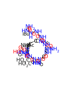 CCC(C)[C@H](NCC(=O)[C@H](C)NCCC(=O)[C@H](C)NCC(=O)[C@]1(C)CCC/C=C/CCCCCC[C@@](C)(NC(=O)[C@H](Cc2ccccc2)NN[C@H](C(=O)C(=O)[C@H](CC(C)C)NC(C)=O)[C@@H](C)O)C(=O)N[C@@H](CCC(=O)O)C(=O)N[C@@H](Cc2ccc(C(=O)O)cc2)C(=O)N[C@@H](Cc2c[nH]c3ccccc23)C(=O)CC(=O)[C@H](C)NCN[C@@H](CCC(N)=O)C(=O)N[C@@H](CC2CCC2)C(=O)N1)C(=O)N[C@H](C)C(N)=O